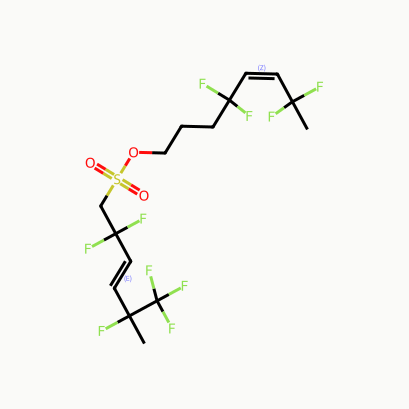 CC(F)(F)/C=C\C(F)(F)CCCOS(=O)(=O)CC(F)(F)/C=C/C(C)(F)C(F)(F)F